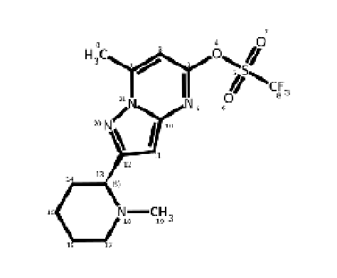 Cc1cc(OS(=O)(=O)C(F)(F)F)nc2cc([C@@H]3CCCCN3C)nn12